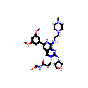 COc1cc(OC)cc(-c2cc3cnc(N[C@@H]4COC[C@@H]4C=CC(=O)NC=O)nc3c(NCCN3CCN(C)CC3)n2)c1